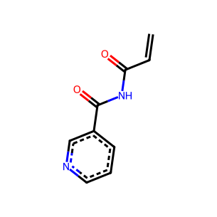 C=CC(=O)NC(=O)c1cccnc1